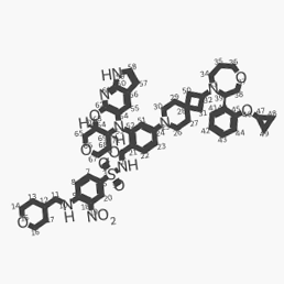 O=C(NS(=O)(=O)c1ccc(NCC2CCOCC2)c([N+](=O)[O-])c1)c1ccc(N2CCC3(CC2)CC(N2CCCOC[C@H]2c2ccccc2OC2CC2)C3)cc1N1c2cc3cc[nH]c3nc2O[C@H]2COCC[C@@H]21